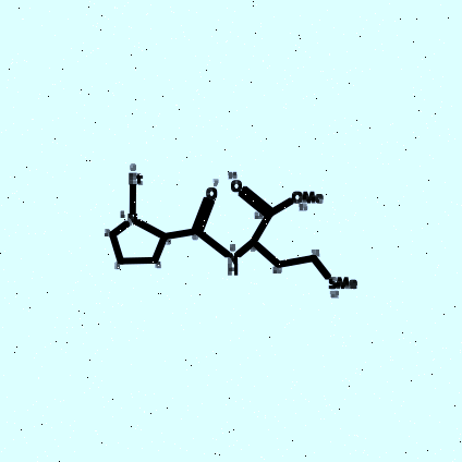 CCN1CCCC1C(=O)NC(CCSC)C(=O)OC